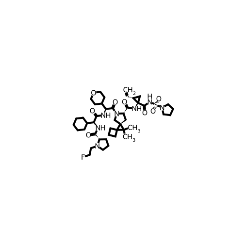 C=C[C@@H]1C[C@]1(NC(=O)[C@@H]1C[C@@]2(CN1C(=O)[C@@H](NC(=O)[C@@H](NC(=O)[C@@H]1CCCN1CCF)C1CCCCC1)C1CCOCC1)C(C)(C)C21CCC1)C(=O)NS(=O)(=O)N1CCCC1